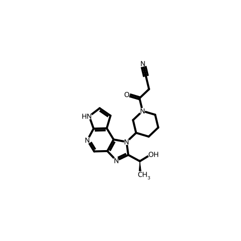 C[C@H](O)c1nc2cnc3[nH]ccc3c2n1C1CCCN(C(=O)CC#N)C1